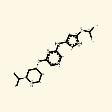 CC(C)[C@H]1C[C@H](Oc2cncc(Nc3cc(OC(F)F)[nH]n3)n2)CCN1